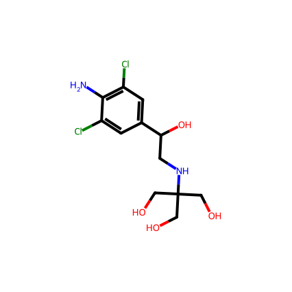 Nc1c(Cl)cc(C(O)CNC(CO)(CO)CO)cc1Cl